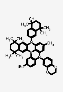 Cc1cc2c3c(c1)N(c1ccc4c(c1)C(C)(C)CCC4(C)C)c1cc4c(cc1B3c1cc(C(C)(C)C)ccc1N2c1ccc2c(c1)OCCO2)C(C)(C)CCC4(C)C